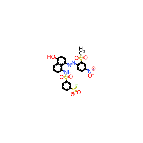 CS(=O)(=O)c1cc([N+](=O)[O-])ccc1N=Nc1ccc(O)c2cccc(NS(=O)(=O)c3cccc(S(=O)(=O)F)c3)c12